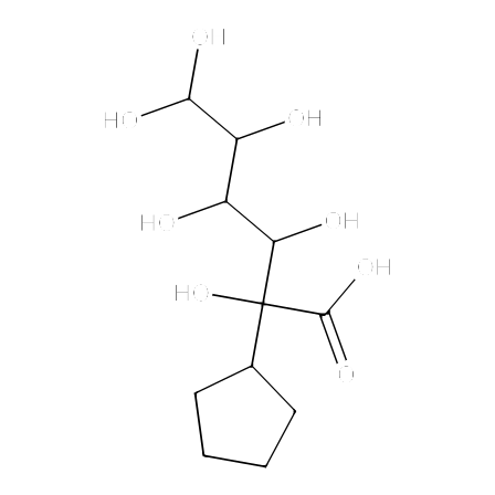 O=C(O)C(O)(C1CCCC1)C(O)C(O)C(O)C(O)O